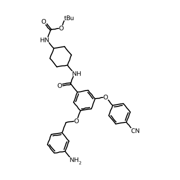 CC(C)(C)OC(=O)NC1CCC(NC(=O)c2cc(OCc3cccc(N)c3)cc(Oc3ccc(C#N)cc3)c2)CC1